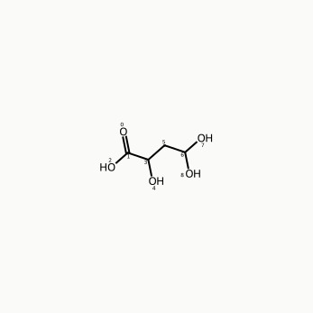 O=C(O)C(O)CC(O)O